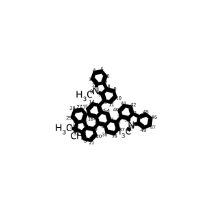 Cn1c2ccccc2c2cccc(-c3cccc4c(-c5cccc6c5-c5ccccc5C6(C)C)c5cccc(-c6cccc7c8ccccc8n(C)c67)c5cc34)c21